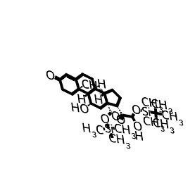 CC(C)(C)[Si](C)(C)OC(O)C(=O)[C@H]1CC[C@H]2[C@@H]3CCC4=CC(=O)CC[C@]4(C)[C@H]3[C@@H](O)C[C@]12C(=O)O[Si](C)(C)C